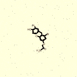 CC(C)c1cc(Cc2c(Cl)cc(OCC(N)=O)cc2Br)ccc1O